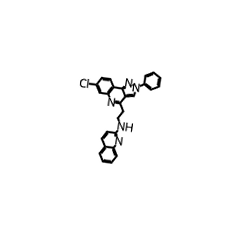 Clc1ccc2c(c1)nc(CCNc1ccc3ccccc3n1)c1cn(-c3ccccc3)nc12